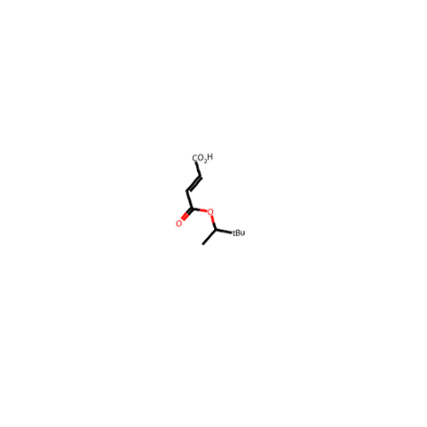 CC(OC(=O)C=CC(=O)O)C(C)(C)C